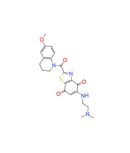 COc1ccc2c(c1)CCCN2C(=O)c1nc2c(s1)C(=O)C=C(NCCN(C)C)C2=O